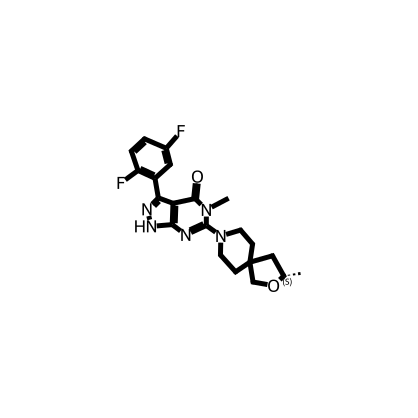 C[C@H]1CC2(CCN(c3nc4[nH]nc(-c5cc(F)ccc5F)c4c(=O)n3C)CC2)CO1